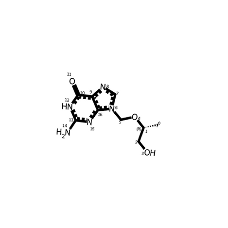 [CH2][C@H](CO)OCn1cnc2c(=O)[nH]c(N)nc21